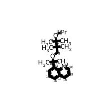 CC(C)OC(C)(C)C(C)(C)COC(C)(C)c1cccc2cccnc12